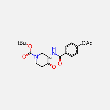 CC(=O)Oc1ccc(C(=O)N[C@H]2CN(C(=O)OC(C)(C)C)CCC2=O)cc1